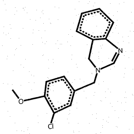 COc1ccc(CN2C=Nc3ccccc3C2)cc1Cl